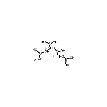 OB(O)O.OB(O)O.OB(O)O.OB(O)O.[Ru]